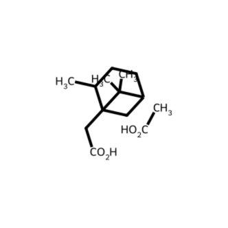 CC(=O)O.CC1CCC2CC1(CC(=O)O)C2(C)C